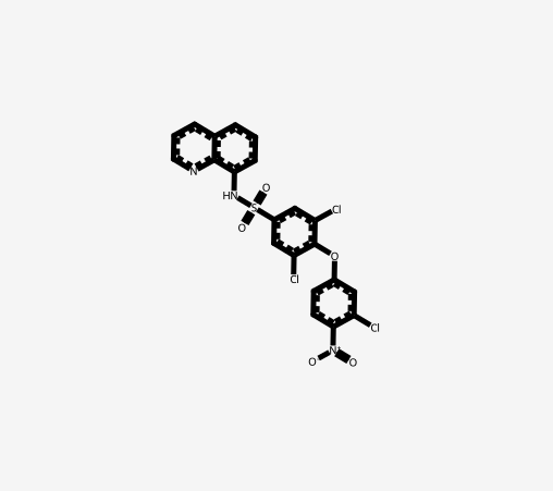 O=[N+]([O-])c1ccc(Oc2c(Cl)cc(S(=O)(=O)Nc3cccc4cccnc34)cc2Cl)cc1Cl